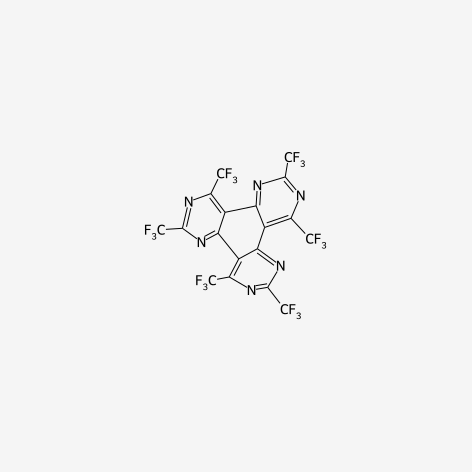 FC(F)(F)c1nc(C(F)(F)F)c2c(n1)c1c(C(F)(F)F)nc(C(F)(F)F)nc1c1c(C(F)(F)F)nc(C(F)(F)F)nc21